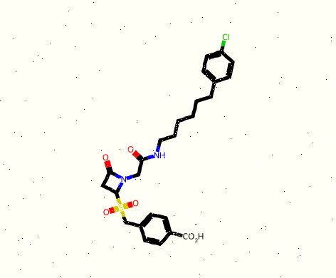 O=C(CN1C(=O)CC1S(=O)(=O)Cc1ccc(C(=O)O)cc1)NCCCCCCc1ccc(Cl)cc1